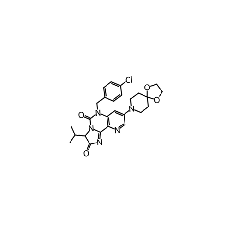 CC(C)C1C(=O)N=C2c3ncc(N4CCC5(CC4)OCCO5)cc3N(Cc3ccc(Cl)cc3)C(=O)N21